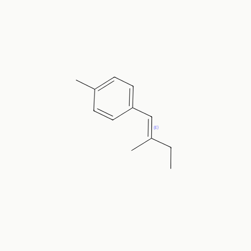 CC/C(C)=C/c1ccc(C)cc1